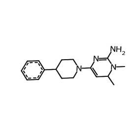 CC1C=C(N2CCC(c3ccccc3)CC2)N=C(N)N1C